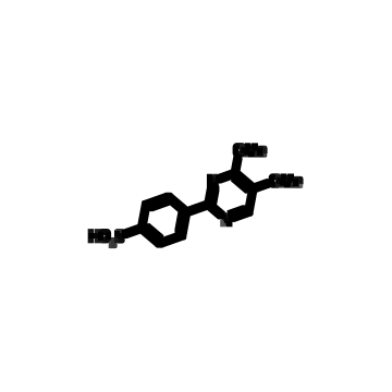 COc1cnc(-c2ccc(S(=O)(=O)O)cc2)nc1OC